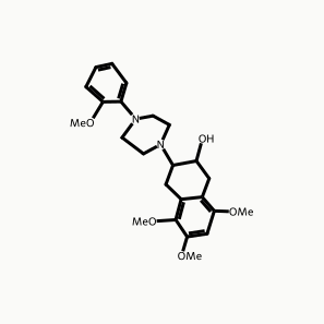 COc1ccccc1N1CCN(C2Cc3c(c(OC)cc(OC)c3OC)CC2O)CC1